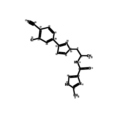 Cc1nc(C(=O)NC(C)Cn2ccc(-c3ccc(C#N)c(Cl)c3)n2)c[nH]1